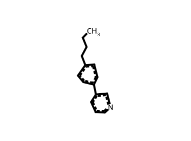 CCCCc1ccc(-c2cccnc2)cc1